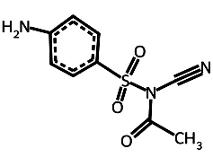 CC(=O)N(C#N)S(=O)(=O)c1ccc(N)cc1